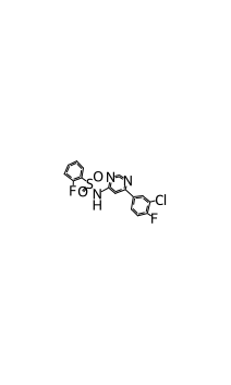 O=S(=O)(Nc1cc(-c2ccc(F)c(Cl)c2)ncn1)c1ccccc1F